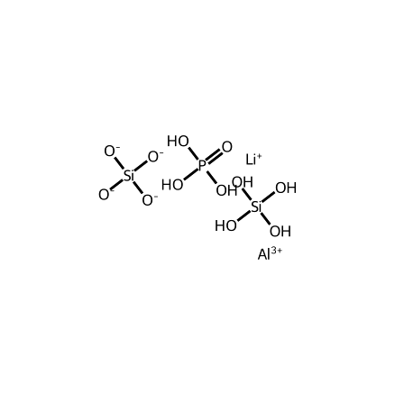 O=P(O)(O)O.O[Si](O)(O)O.[Al+3].[Li+].[O-][Si]([O-])([O-])[O-]